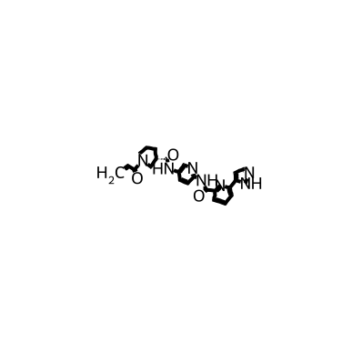 C=CC(=O)N1CCC[C@H](C(=O)Nc2ccc(NC(=O)c3cccc(-c4ccn[nH]4)n3)nc2)C1